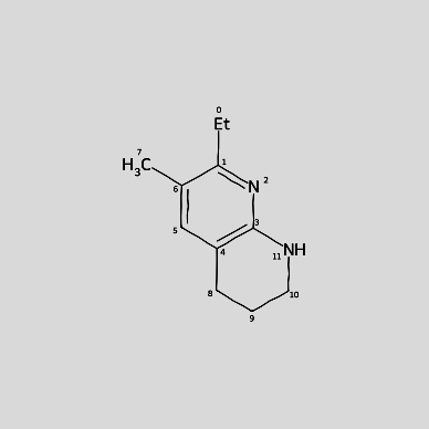 CCc1nc2c(cc1C)CCCN2